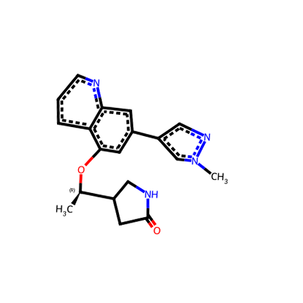 C[C@@H](Oc1cc(-c2cnn(C)c2)cc2ncccc12)C1CNC(=O)C1